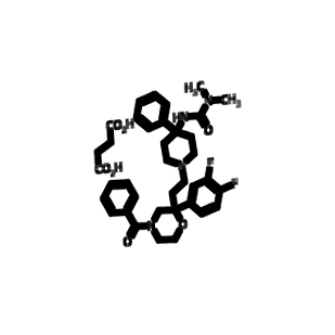 CN(C)C(=O)NC1(c2ccccc2)CCN(CCC2(c3ccc(F)c(F)c3)CN(C(=O)c3ccccc3)CCO2)CC1.O=C(O)CCC(=O)O